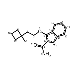 CC1(CCOc2c(C(N)=O)sc3ccccc23)CCC1